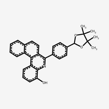 CC1(C)OC(c2ccc(-c3nc4c(O)cccc4c4c3ccc3ccccc34)cc2)OC1(C)C